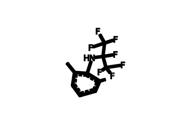 Cc1cccc(C)c1NC(F)(C(F)(F)F)C(F)(F)F